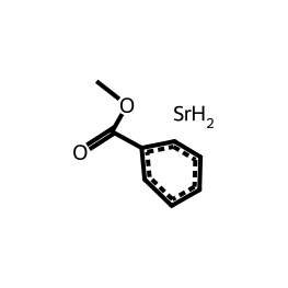 COC(=O)c1ccccc1.[SrH2]